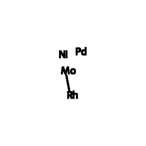 [Mo][Rh].[Ni].[Pd]